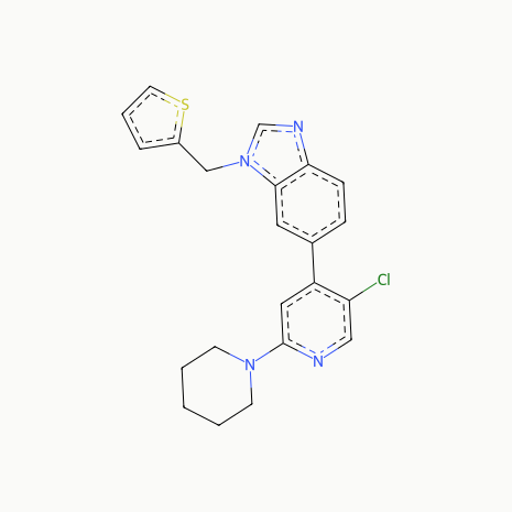 Clc1cnc(N2CCCCC2)cc1-c1ccc2ncn(Cc3cccs3)c2c1